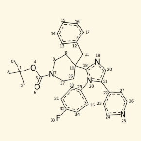 CC(C)(C)OC(=O)N1CCC(Cc2ccccc2)(c2ncc(-c3ccncc3)n2-c2ccc(F)cc2)CC1